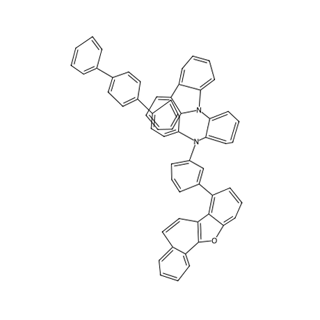 c1ccc(-c2ccc(-c3ccc(N(c4cccc(-c5cccc6oc7c8ccccc8ccc7c56)c4)c4ccccc4-n4c5ccccc5c5ccccc54)cc3)cc2)cc1